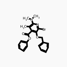 Cc1c(N(C)C)nc(Br)c(OCc2ccccc2)c1C(=O)Oc1ccccc1